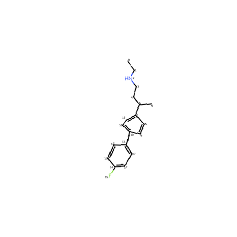 CCNCCC(C)c1ccc(-c2ccc(F)cc2)cc1